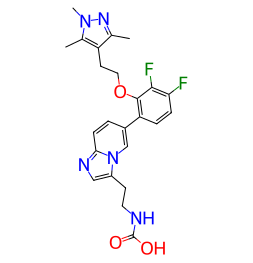 Cc1nn(C)c(C)c1CCOc1c(-c2ccc3ncc(CCNC(=O)O)n3c2)ccc(F)c1F